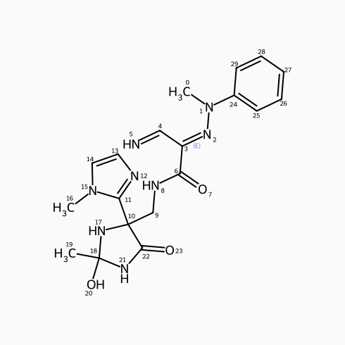 CN(/N=C(\C=N)C(=O)NCC1(c2nccn2C)NC(C)(O)NC1=O)c1ccccc1